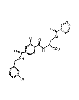 O=C(NCc1cccc(O)c1)c1ccc(C(=O)N[C@@H](CNC(=O)c2cccnc2)C(=O)O)c(Cl)c1